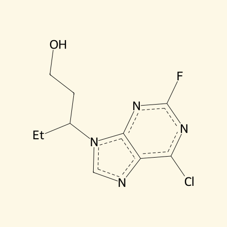 CCC(CCO)n1cnc2c(Cl)nc(F)nc21